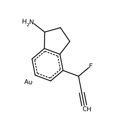 C#CC(F)c1cccc2c1CCC2N.[Au]